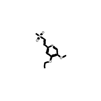 CCOc1cc(/C=C/S(C)(=O)=O)ncc1OC